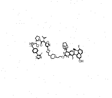 C#Cc1c(F)ccc2cc(O)cc(-c3ncc4c(N5CC6CCC(C5)N6)nc(OCCN5CCC(CC6CN(c7cc([C@@H](C(=O)N8CCC[C@H]8C(=O)N[C@@H](C)c8ccc(-c9scnc9C)cc8)C(C)C)on7)C6)CC5)nc4c3F)c12